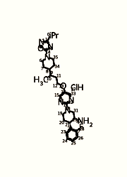 CC(C)c1noc(N2CCC(C(C)CCOc3cnc(N4CC[C@H](c5ccccc5F)[C@@H](N)C4)nc3)CC2)n1.Cl